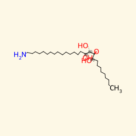 CCCCCCCCC[C@@H](O)C(=O)[C@@H](CO)[C@H](O)CCCCCCCCCCCCCCCN